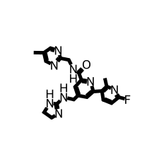 Cc1cnc(CNC(=O)c2cc(CNC3=NCCN3)cc(-c3ccc(F)nc3C)n2)nc1